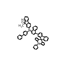 CC1(C)c2ccccc2-c2ccc(N(c3ccc(-c4ccccc4)cc3)c3ccc(-c4ccc5c(c4)C4(c6ccccc6-5)c5ccccc5N(c5ccccc5)c5ccccc54)c4ccccc34)cc21